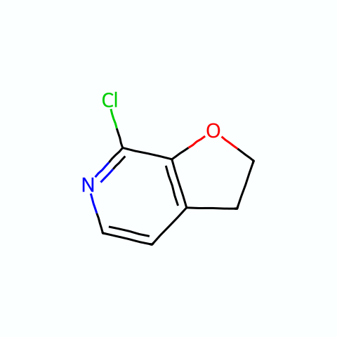 Clc1nccc2c1OCC2